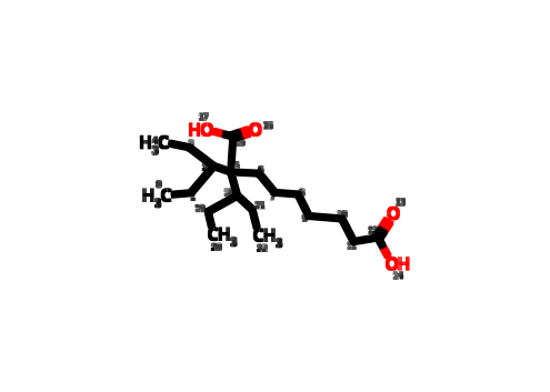 CCC(CC)C(CCCCCCC(=O)O)(C(=O)O)C(CC)CC